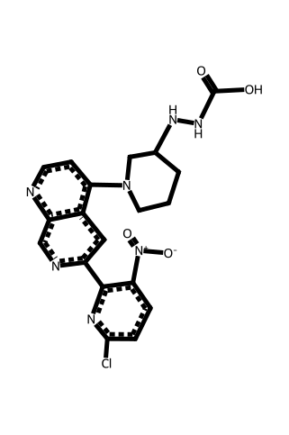 O=C(O)NNC1CCCN(c2ccnc3cnc(-c4nc(Cl)ccc4[N+](=O)[O-])cc23)C1